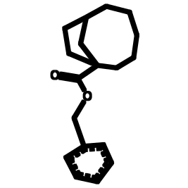 O=C(OCc1ccccc1)C12CCCCCC(CC1)C2